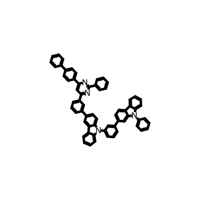 c1ccc(-c2ccc(-c3cc(-c4cccc(-c5ccc6c(c5)c5ccccc5n6-c5cccc(-c6ccc7c8ccccc8n(-c8ccccc8)c7c6)c5)c4)nc(-c4ccccc4)n3)cc2)cc1